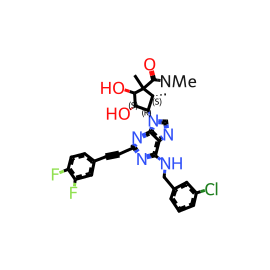 CNC(=O)C1(C)C(O)[C@@H](O)[C@H](n2cnc3c(NCc4cccc(Cl)c4)nc(C#Cc4ccc(F)c(F)c4)nc32)[C@H]1C